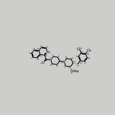 CO[C@@H]1CN(C2CCN(C(=O)c3nccc4ccccc34)CC2)CC[C@@H]1Cc1ccc(Cl)c(Cl)c1